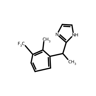 Cc1c(C(C)c2ncc[nH]2)cccc1C(F)(F)F